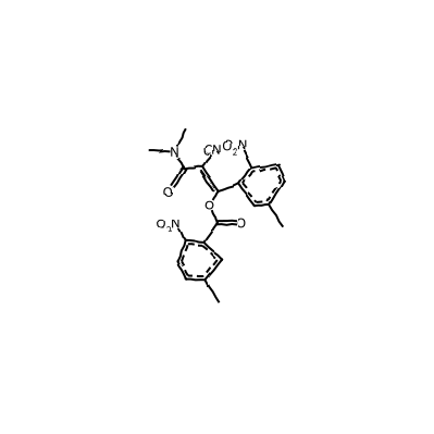 Cc1ccc([N+](=O)[O-])c(C(=O)OC(=C(C#N)C(=O)N(C)C)c2cc(C)ccc2[N+](=O)[O-])c1